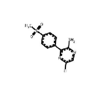 CS(=O)(=O)c1ccc(-c2nc(Cl)cnc2N)cc1